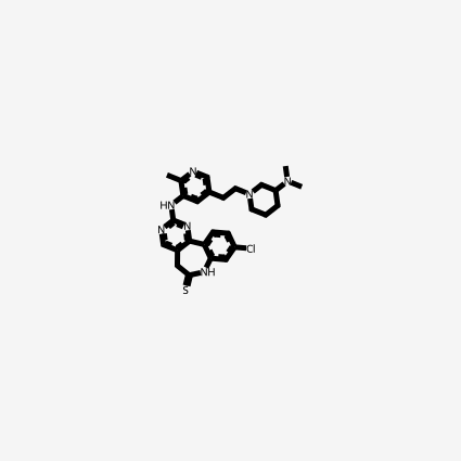 Cc1ncc(CCN2CCCC(N(C)C)C2)cc1Nc1ncc2c(n1)-c1ccc(Cl)cc1NC(=S)C2